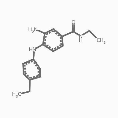 CCNC(=O)c1ccc(Nc2ccc(CC)cc2)c(N)c1